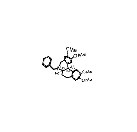 COc1cc2c(cc1OC)[C@H]1c3cc(OC)c(OC)cc3CN(Cc3ccccc3)[C@@H]1CC2